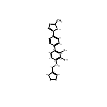 Cc1ccc(-c2ccc(-c3ccc(OCC4=CCCC4)c(F)c3F)cc2)s1